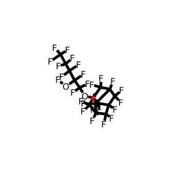 FOC(F)(C(F)(F)OC12C(F)(F)C3(F)C(F)(F)C(F)(C(F)(F)C(F)(C3(F)F)C1(F)F)C2(F)F)C(F)(F)C(F)(F)C(F)(F)F